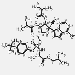 CC(C)COC(=O)[C@H](C)NP(=O)(OC[C@H]1O[C@@](C#N)(c2ccc3c(N)ncnn23)[C@H](OC(=O)C(C)C)[C@@H]1OC(=O)C(C)C)Oc1ccc(C(C)(C)C)cc1